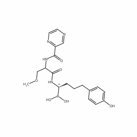 COCC(NC(=O)c1cnccn1)C(=O)N[C@@H](CCCc1ccc(O)cc1)B(O)O